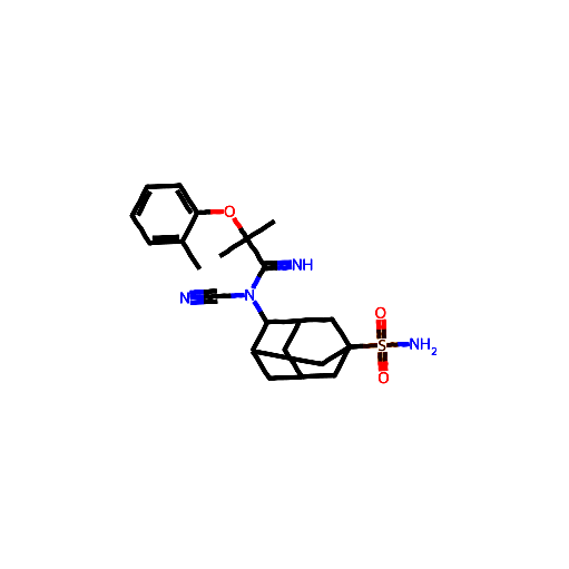 Cc1ccccc1OC(C)(C)C(=N)N(C#N)C1C2CC3CC1CC(S(N)(=O)=O)(C3)C2